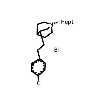 CCCCCCC[N+]12CCC(CC1)C(CCc1ccc(Cl)cc1)C2.[Br-]